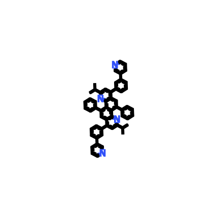 CC(C)c1cc(-c2cccc(-c3cccnc3)c2)c2cc(-c3ccccc3)c3c4nc(C(C)C)cc(-c5cccc(-c6cccnc6)c5)c4cc(-c4ccccc4)c3c2n1